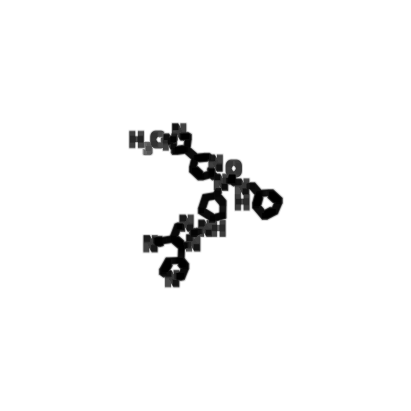 Cn1cc(-c2ccc(N(C(=O)NCc3ccccc3)C3CCC(Nc4ncc(C#N)c(-c5ccncc5)n4)CC3)nc2)cn1